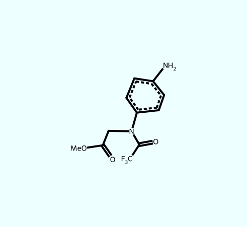 COC(=O)CN(C(=O)C(F)(F)F)c1ccc(N)cc1